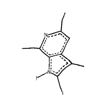 Cc1cc2c(C)c(I)n(I)c2c(C)n1